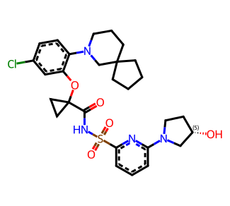 O=C(NS(=O)(=O)c1cccc(N2CC[C@H](O)C2)n1)C1(Oc2cc(Cl)ccc2N2CCCC3(CCCC3)C2)CC1